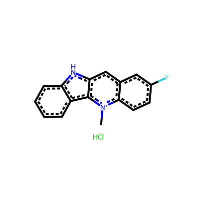 C[n+]1c2ccc(F)cc2cc2[nH]c3ccccc3c21.Cl